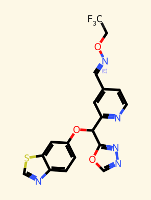 FC(F)(F)CO/N=C/c1ccnc(C(Oc2ccc3ncsc3c2)c2nnco2)c1